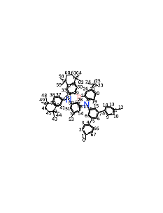 Cc1ccc(-c2cc(-c3ccc(C)cc3)cc(N3c4ccc(C(C)(C)C)cc4B4c5cc6c(cc5N(c5ccc7c(c5)C(C)(C)CCC7(C)C)c5cc(C)cc3c54)C(C)(C)CCC6(C)C)c2)cc1